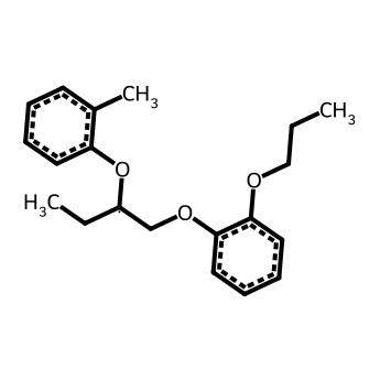 CCCOc1ccccc1OC[C](CC)Oc1ccccc1C